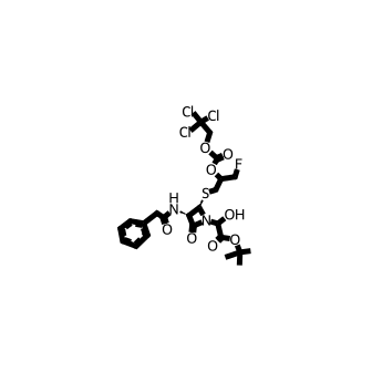 CC(C)(C)OC(=O)C(O)N1C(=O)[C@H](NC(=O)Cc2ccccc2)[C@@H]1SCC(CF)OC(=O)OCC(Cl)(Cl)Cl